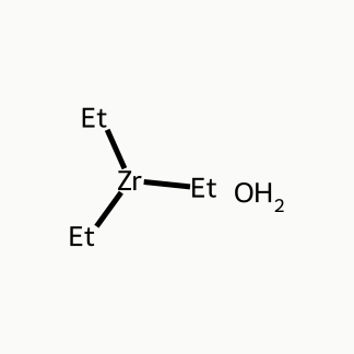 C[CH2][Zr]([CH2]C)[CH2]C.O